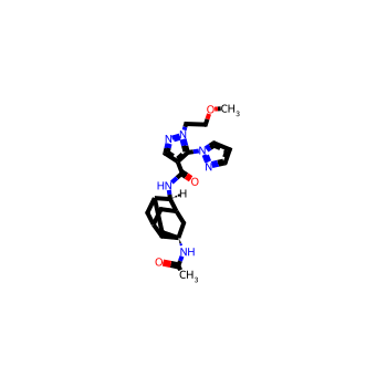 COCCn1ncc(C(=O)N[C@H]2C3CC4CC2C[C@](NC(C)=O)(C4)C3)c1-n1cccn1